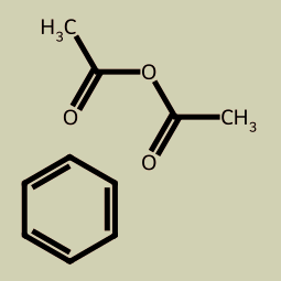 CC(=O)OC(C)=O.c1ccccc1